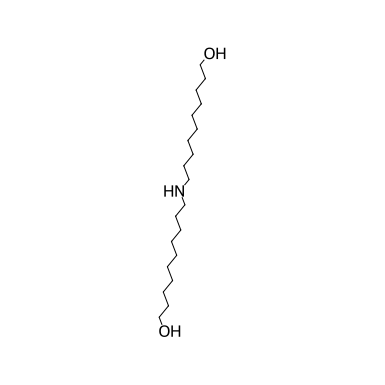 OCCCCCCCCCCNCCCCCCCCCCO